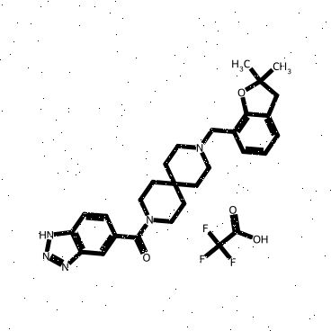 CC1(C)Cc2cccc(CN3CCC4(CC3)CCN(C(=O)c3ccc5[nH]nnc5c3)CC4)c2O1.O=C(O)C(F)(F)F